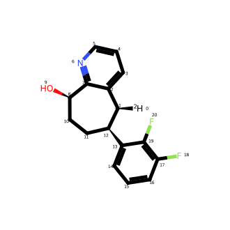 [2H][C@@H]1c2cccnc2[C@H](O)CC[C@@H]1c1cccc(F)c1F